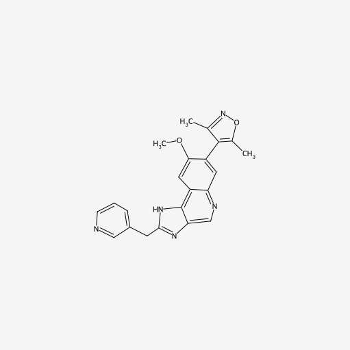 COc1cc2c(cc1-c1c(C)noc1C)ncc1nc(Cc3cccnc3)[nH]c12